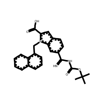 CC(C)(C)OC(=O)NC(=N)c1ccc2cc(C(=O)O)n(Cc3cccc4ccccc34)c2c1